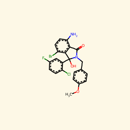 COc1ccc(CN2C(=O)c3c(N)ccc(Br)c3C2(O)c2cc(F)ccc2Cl)cc1